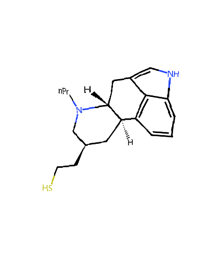 CCCN1C[C@H](CCS)C[C@@H]2c3cccc4[nH]cc(c34)C[C@H]21